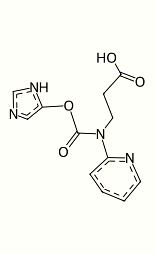 O=C(O)CCN(C(=O)Oc1cnc[nH]1)c1ccccn1